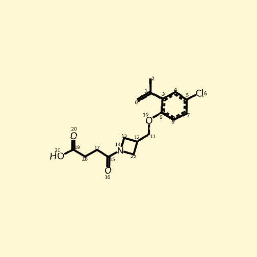 C=C(C)c1cc(Cl)ccc1OCC1CN(C(=O)CCC(=O)O)C1